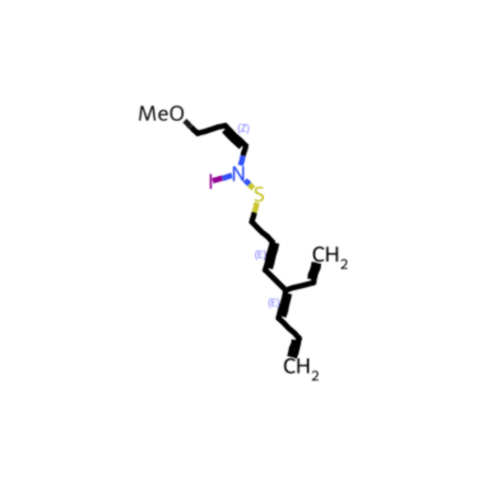 C=C/C=C(C=C)/C=C/CSN(I)/C=C\COC